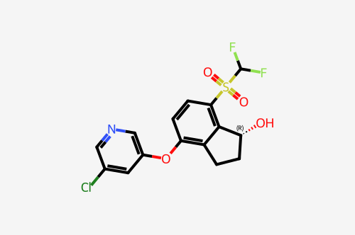 O=S(=O)(c1ccc(Oc2cncc(Cl)c2)c2c1[C@H](O)CC2)C(F)F